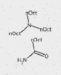 CCCCCCCCC(N)=O.CCCCCCCCN(CCCCCCCC)CCCCCCCC